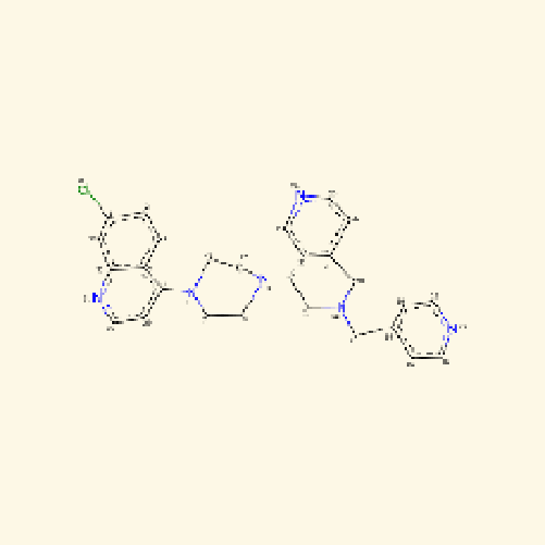 Clc1ccc2c(N3CCN(CCN(Cc4ccncc4)Cc4ccncc4)CC3)ccnc2c1